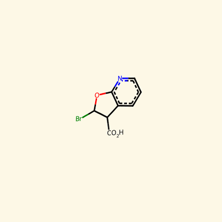 O=C(O)C1c2cccnc2OC1Br